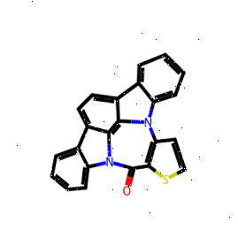 O=c1c2sccc2n2c3ccccc3c3ccc4c5ccccc5n1c4c32